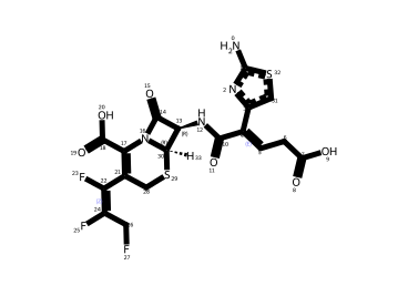 Nc1nc(/C(=C\CC(=O)O)C(=O)N[C@@H]2C(=O)N3C(C(=O)O)=C(/C(F)=C(/F)CF)CS[C@H]23)cs1